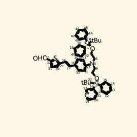 CC(C)(C)[Si](OCCN(CCO[Si](c1ccccc1)(c1ccccc1)C(C)(C)C)c1ccc(C=Cc2ccc(C=O)s2)cc1)(c1ccccc1)c1ccccc1